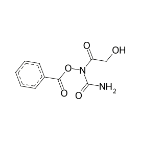 NC(=O)N(OC(=O)c1ccccc1)C(=O)CO